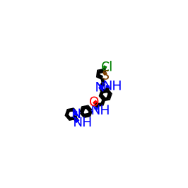 N=C1CCCCN1c1ccc(NC(=O)Cc2ccc3[nH]c(-c4ccc(Cl)s4)nc3c2)cc1